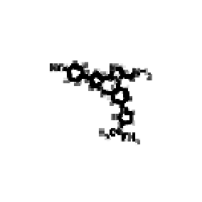 CN(C)[C@@H]1CCN(c2ccc3c(c2)Cn2cc(-c4ccc(C#N)cc4)cc2-c2ncc(CN)n2-3)C1